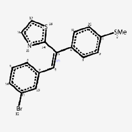 CSc1ccc(/C(=C/c2cccc(Br)c2)c2nccs2)cc1